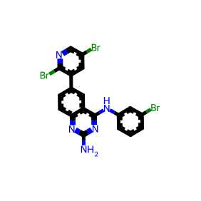 Nc1nc(Nc2cccc(Br)c2)c2cc(-c3cc(Br)cnc3Br)ccc2n1